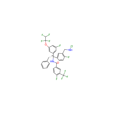 O=C(N[C@@](Cc1ccccc1)(c1cc(F)cc(OC(F)(F)C(F)F)c1)c1ccc(F)c(CNCl)c1)c1ccc(F)c(C(F)(F)F)c1